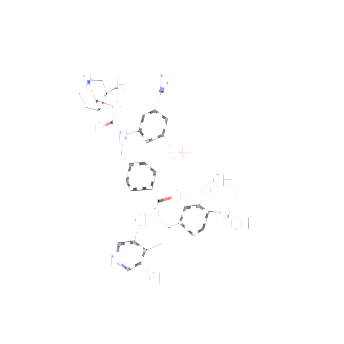 COc1ccc([C@H](Cc2c(Cl)cncc2Cl)OC(=O)c2ccc(CN(C(=O)O[C@H]3CN4CCC3CC4)c3cc(O)cc(C#N)c3)cc2)cc1OC